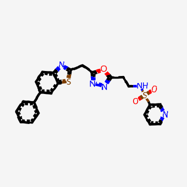 O=S(=O)(NCCc1nnc(Cc2nc3ccc(-c4ccccc4)cc3s2)o1)c1cccnc1